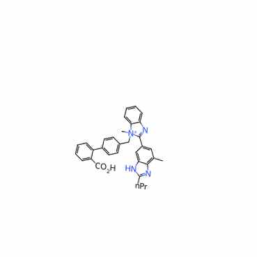 CCCc1nc2c(C)cc(C3=Nc4ccccc4[N+]3(C)Cc3ccc(-c4ccccc4C(=O)O)cc3)cc2[nH]1